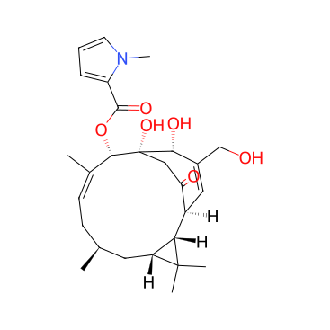 C/C1=C/C[C@H](C)C[C@@H]2[C@H]([C@@H]3C=C(CO)[C@@H](O)[C@@](O)(CC3=O)[C@H]1OC(=O)c1cccn1C)C2(C)C